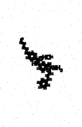 CCCCCCc1ccc(C(=O)Nc2ccc3c(c2)nc(N)n3CCCc2ccccc2)cc1.Cl